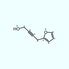 OCC#CCc1ccco1